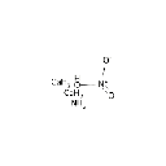 N.O=[N+]([O-])O.[CaH2].[CaH2]